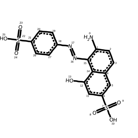 Nc1ccc2cc(S(=O)(=O)O)cc(O)c2c1/N=N/c1ccc(S(=O)(=O)O)cc1